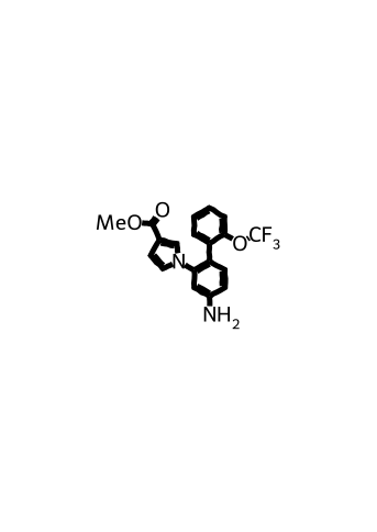 COC(=O)c1ccn(-c2cc(N)ccc2-c2ccccc2OC(F)(F)F)c1